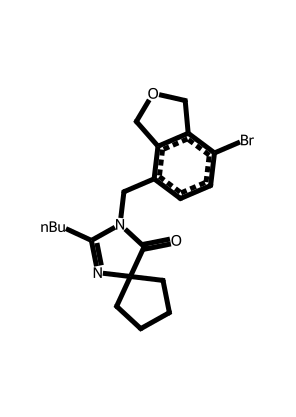 CCCCC1=NC2(CCCC2)C(=O)N1Cc1ccc(Br)c2c1COC2